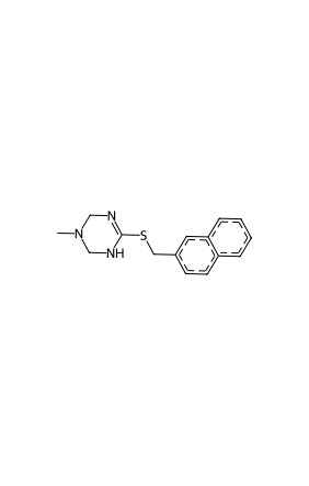 CN1CN=C(SCc2ccc3ccccc3c2)NC1